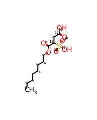 CCCCCCCCOC(=O)C(CC(=O)O)S(=O)(=O)O